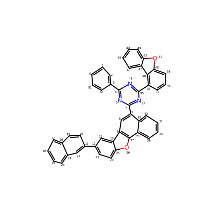 c1ccc(-c2nc(-c3cc4c5cc(-c6ccc7ccccc7c6)ccc5oc4c4ccccc34)nc(-c3cccc4oc5ccccc5c34)n2)cc1